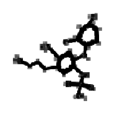 CS(=O)(=O)Nc1cc(CCCO)c(N)cc1Oc1ccc(Cl)cc1Cl